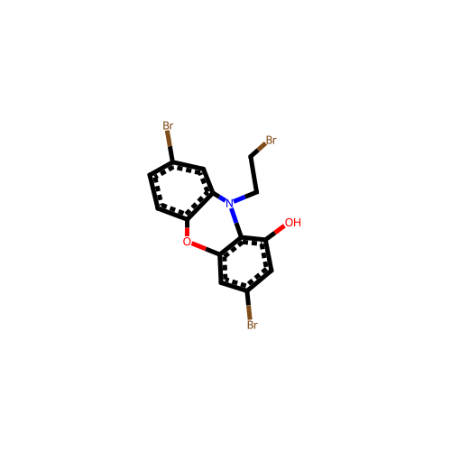 Oc1cc(Br)cc2c1N(CCBr)c1cc(Br)ccc1O2